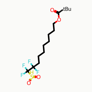 CC(C)(C)C(=O)OCCCCCCCCC(F)(F)C(F)(F)[SH](=O)=O